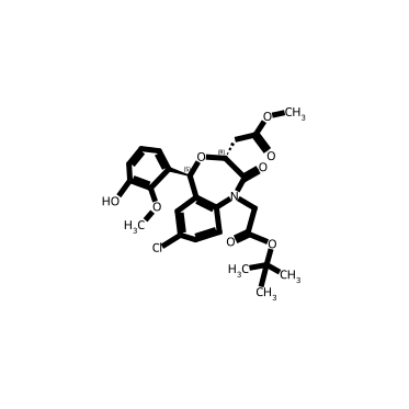 COC(=O)C[C@H]1O[C@H](c2cccc(O)c2OC)c2cc(Cl)ccc2N(CC(=O)OC(C)(C)C)C1=O